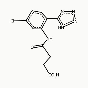 O=C(O)CCC(=O)Nc1cc(Cl)ccc1-c1nnn[nH]1